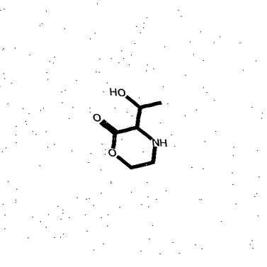 CC(O)C1NCCOC1=O